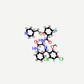 COc1cc(Cl)cc(Cl)c1C1=NC(NC(=O)c2cc(F)ccc2OCc2ccncc2)C(=O)Nc2ccccc21